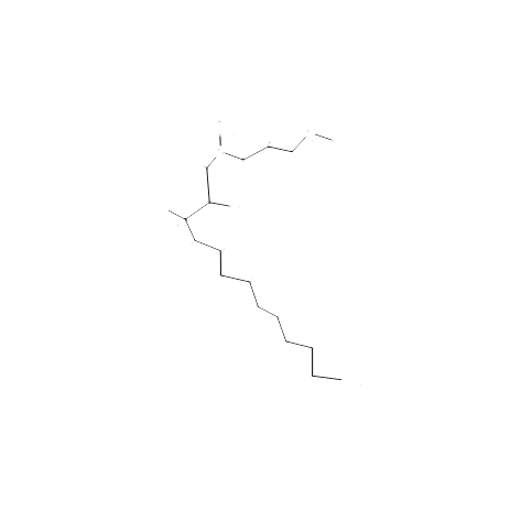 CCCCCCCCCCC(C)C(O)CN(C)CCCNC